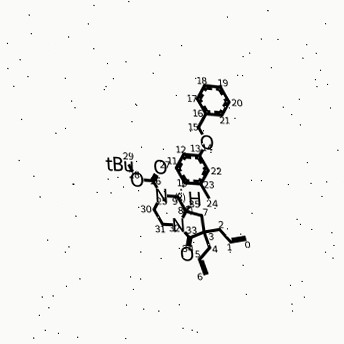 C=CCC1(CC=C)C[C@H]2[C@@H](c3ccc(OCc4ccccc4)cc3C)N(C(=O)OC(C)(C)C)CCN2C1=O